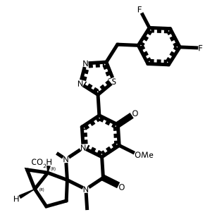 COc1c2n(cc(-c3nnc(Cc4ccc(F)cc4F)s3)c1=O)N(C)C1(CC[C@@H]3C[C@@]31C(=O)O)N(C)C2=O